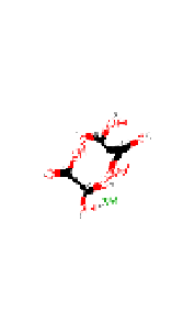 F.O=C(O)C(=O)O.O=C(O)C(=O)O